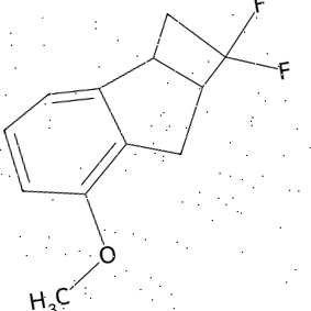 COc1cccc2c1CC1C2CC1(F)F